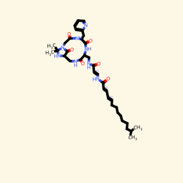 CC(C)CCCCCCC/C=C/C=C/C(=O)N/C=C/C(=O)NCC1NC(=O)C(Cc2ccccn2)NC(=O)CN2C(=O)C(CNC1=O)NC2(C)C